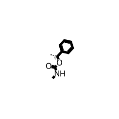 CNC(=O)O[C@H](C)c1ccccc1